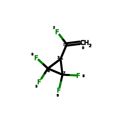 C=C(F)[C]1C(F)(F)C1(F)F